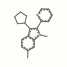 Cc1ccc2c(C3CCCC3)c(-c3ccccn3)n(C)c2c1